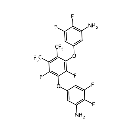 Nc1cc(Oc2c(F)c(Oc3cc(N)c(F)c(F)c3)c(C(F)(F)F)c(C(F)(F)F)c2F)cc(F)c1F